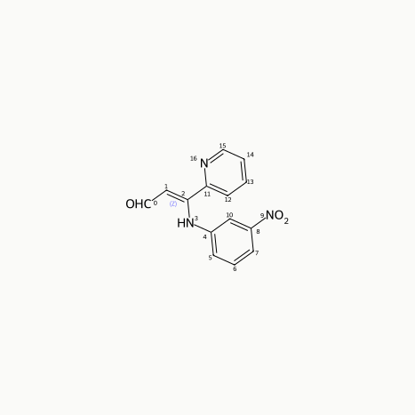 O=C/C=C(\Nc1cccc([N+](=O)[O-])c1)c1ccccn1